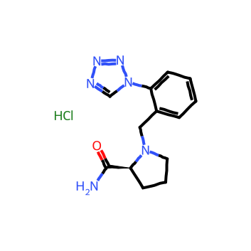 Cl.NC(=O)[C@@H]1CCCN1Cc1ccccc1-n1cnnn1